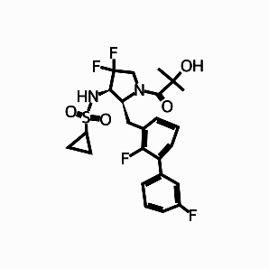 CC(C)(O)C(=O)N1CC(F)(F)[C@H](NS(=O)(=O)C2CC2)[C@@H]1Cc1cccc(-c2cccc(F)c2)c1F